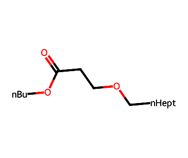 CCCCCCCCOCCC(=O)OCCCC